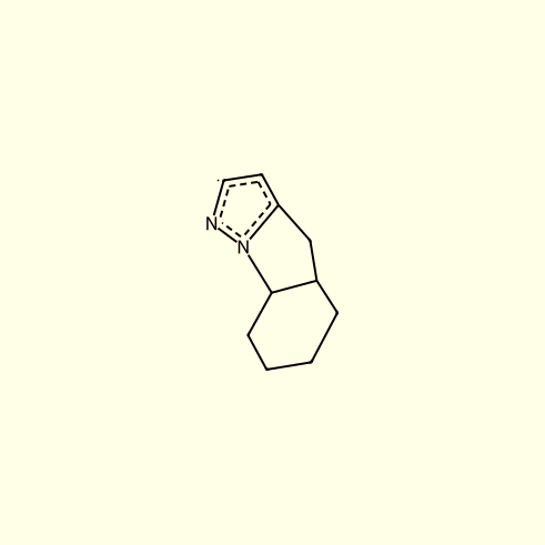 [c]1cc2n(n1)C1CCCCC1C2